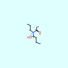 CCCC(O)N(CCC)C(C)=O